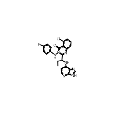 CC[C@H](Nc1ccnc2[nH]cnc12)c1nc2cccc(Cl)c2c(=O)n1Nc1ccc(F)cc1